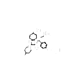 CC1CCN(C2=NC3(CCC(C(C)(C)C)CC3)N([C@H](CCC(C)(C)C)c3ccc(C(=O)O)cc3)C2=O)CC1